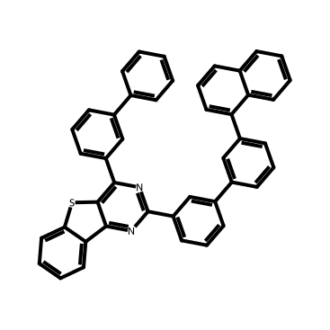 c1ccc(-c2cccc(-c3nc(-c4cccc(-c5cccc(-c6cccc7ccccc67)c5)c4)nc4c3sc3ccccc34)c2)cc1